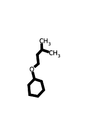 CC(C)CCOC1CCCCC1